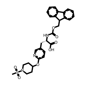 CS(=O)(=O)N1CCC(Oc2ccc(C[C@H](NC(=O)OCC3c4ccccc4-c4ccccc43)C(=O)O)cn2)CC1